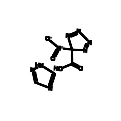 O=C(O)C1([N+](=O)[O-])N=NN=N1.c1nc[nH]n1